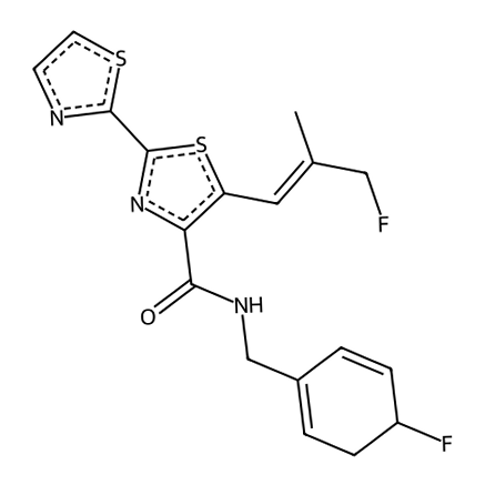 C/C(=C\c1sc(-c2nccs2)nc1C(=O)NCC1=CCC(F)C=C1)CF